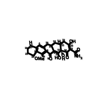 COc1c2c(cc3c1C(=O)C1=C(O)[C@]4(O)C(=O)C(C(N)=O)=C(O)C[C@@H]4CC1C3)NCCC2